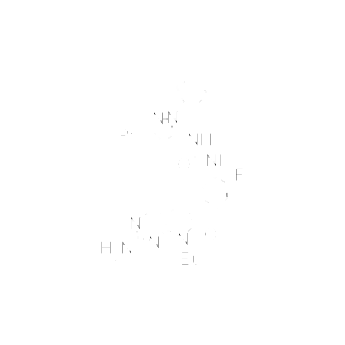 CCn1c(=O)c(-c2ccc(F)c(NC(=O)Nc3cc(C(C)C)nn3-c3ccccc3)c2)cc2cnc(N)nc21